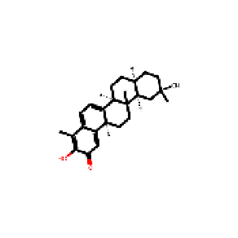 CC1=C(O)C(=O)C=C2C1=CC=C1[C@@]2(C)CCC2(C)[C@@H]3C[C@](C)(C#N)CC[C@]3(C)CC[C@]12C